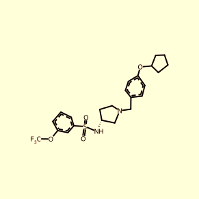 O=S(=O)(N[C@@H]1CCN(Cc2ccc(OC3CCCC3)cc2)C1)c1cccc(OC(F)(F)F)c1